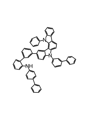 c1ccc(-c2ccc(Nc3ccccc3-c3cccc(-c4ccc5c(c4)c4c(ccc6c7ccccc7n(-c7ccccc7)c64)n5-c4cccc(-c5ccccc5)c4)c3)cc2)cc1